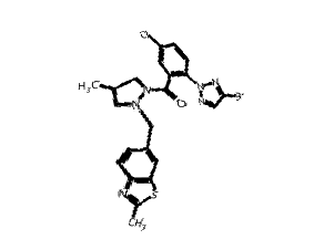 Cc1nc2ccc(CN3CC(C)CN3C(=O)c3cc(Cl)ccc3-n3ncc(Br)n3)cc2s1